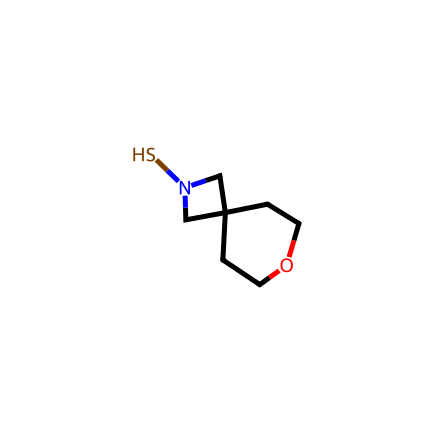 SN1CC2(CCOCC2)C1